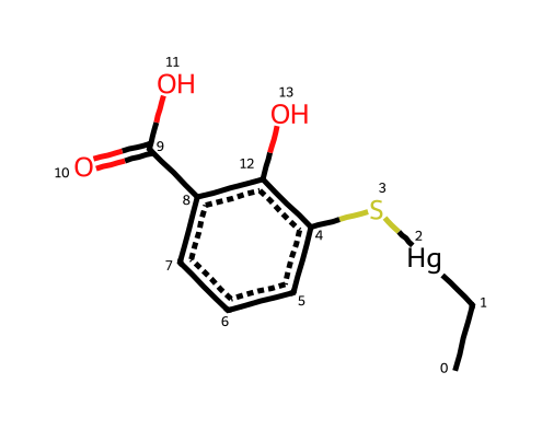 C[CH2][Hg][S]c1cccc(C(=O)O)c1O